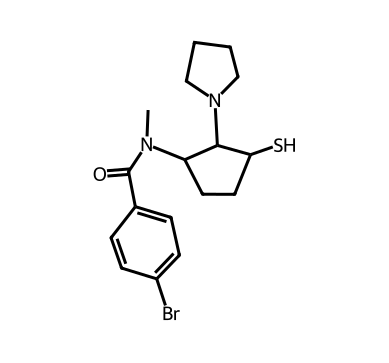 CN(C(=O)c1ccc(Br)cc1)C1CCC(S)C1N1CCCC1